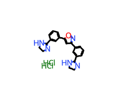 Cl.Cl.c1cc(C2=NCCN2)cc(-c2cc(-c3cccc(C4=NCCN4)c3)on2)c1